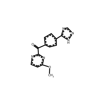 COc1ccnc(C(=O)c2ccc(-c3ncn[nH]3)cc2)n1